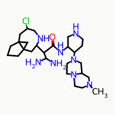 CN1CCN2CCN(C3CCNCC3NC(=O)C(C(N)N)C3CC45CCCC4(CC(Cl)CN3)C5)CC2C1